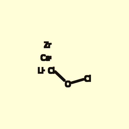 ClOCl.[Ca].[Li].[Zr]